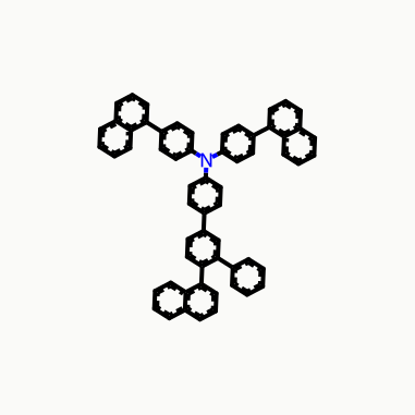 c1ccc(-c2cc(-c3ccc(N(c4ccc(-c5cccc6ccccc56)cc4)c4ccc(-c5cccc6ccccc56)cc4)cc3)ccc2-c2cccc3ccccc23)cc1